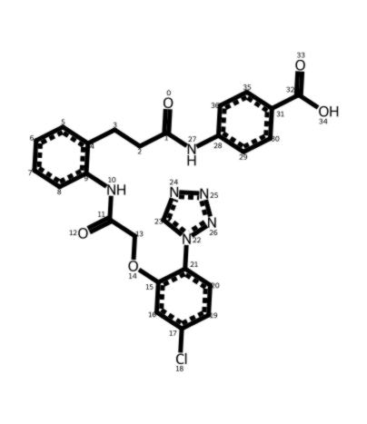 O=C(CCc1ccccc1NC(=O)COc1cc(Cl)ccc1-n1cnnn1)Nc1ccc(C(=O)O)cc1